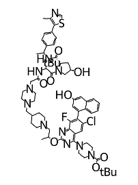 Cc1ncsc1-c1ccc(C(C)NC(=O)[C@@H]2C[C@@H](O)CN2C(=O)C(NC(=O)CN2CCN(CC3CCN(CC(C)Oc4nc(N5CCN(C(=O)OC(C)(C)C)CC5)c5cc(Cl)c(-c6cc(O)cc7ccccc67)c(F)c5n4)CC3)CC2)C(C)(C)C)cc1